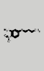 CCCCOc1ccc([N+](=O)[O-])c(C)c1